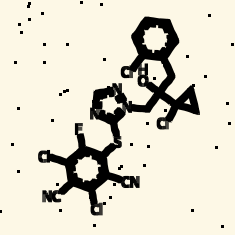 N#Cc1c(Cl)c(F)c(Sc2ncnn2CC(O)(Cc2ccccc2Cl)C2(Cl)CC2)c(C#N)c1Cl